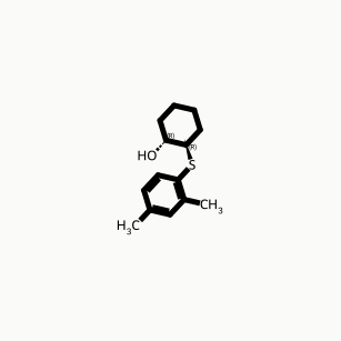 Cc1ccc(S[C@@H]2CCCC[C@H]2O)c(C)c1